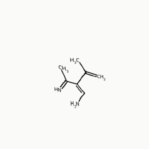 C=C(C)/C(=C/N)C(C)=N